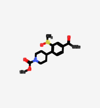 COC(=O)c1ccc(C2CCN(C(=O)OC(C)(C)C)CC2)c([S+](C)[O-])c1